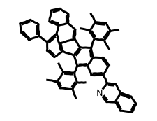 Cc1cc(C)c(C)c(-c2c3c(c(-c4c(C)c(C)cc(C)c4C)c4cc(-c5cc6ccccc6cn5)ccc24)-c2ccc(-c4ccccc4)c4c2c-3cc2ccccc24)c1C